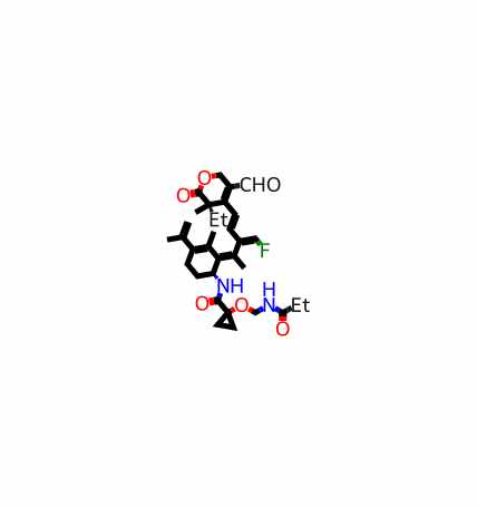 C=C(C)C1=C(C)\C(=C(C)/C(=C\F)/C=C/C2=C(C=O)COC(=O)[C@]2(C)CC)[C@@H](NC(=O)C2(OCNC(=O)CC)CC2)CC1